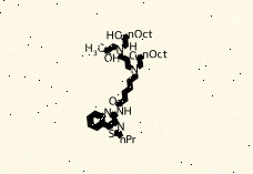 CCCCCCCCC(O)CN(CCCCCC(=O)Nc1nc2ccccc2c2sc(CCC)nc12)CCCN(CC(C)O)CC(O)CCCCCCCC